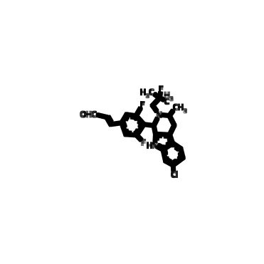 CC1Cc2c([nH]c3cc(Cl)ccc23)C(c2c(F)cc(/C=C/C=O)cc2F)N1CC(C)(C)F